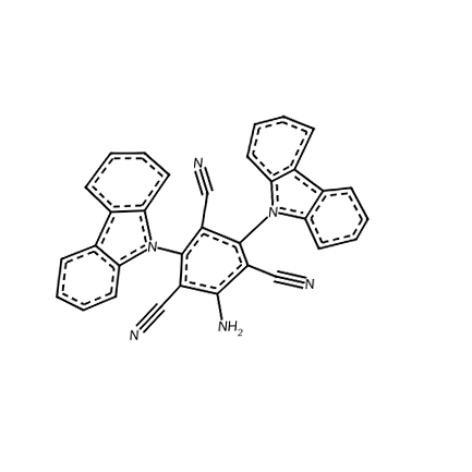 N#Cc1c(N)c(C#N)c(-n2c3ccccc3c3ccccc32)c(C#N)c1-n1c2ccccc2c2ccccc21